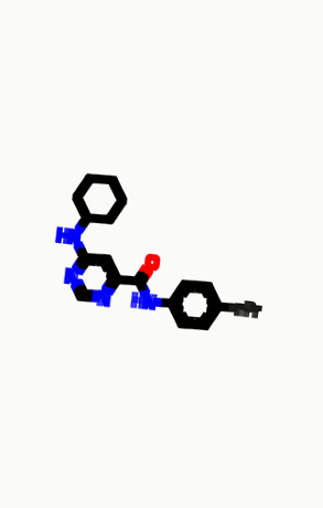 CCCc1ccc(NC(=O)c2cc(NC3CCCCC3)ncn2)cc1